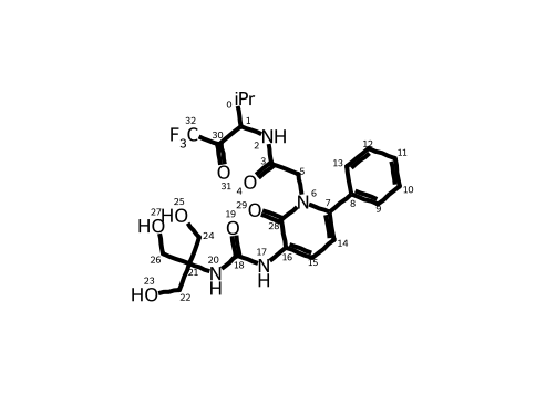 CC(C)C(NC(=O)Cn1c(-c2ccccc2)ccc(NC(=O)NC(CO)(CO)CO)c1=O)C(=O)C(F)(F)F